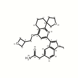 Cn1cc(-c2cc(OCC3COC3)c3c(n2)C2(CCC3)CCOC2)c2cc(CC(N)=O)ncc21